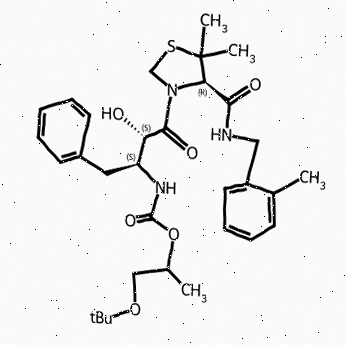 Cc1ccccc1CNC(=O)[C@H]1N(C(=O)[C@@H](O)[C@H](Cc2ccccc2)NC(=O)OC(C)COC(C)(C)C)CSC1(C)C